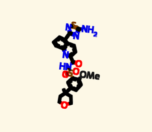 COc1ccc(C2(C)CCOCC2)cc1S(=O)(=O)NC(=O)c1ccc2c(-c3nsc(N)n3)cccc2n1